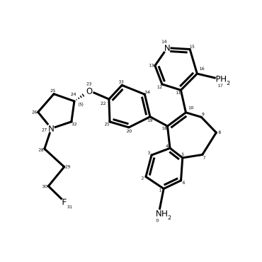 Nc1ccc2c(c1)CCCC(c1ccncc1P)=C2c1ccc(O[C@H]2CCN(CCCF)C2)cc1